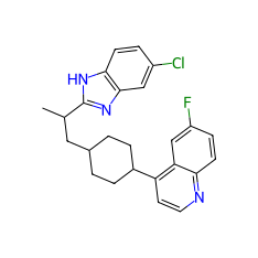 CC(CC1CCC(c2ccnc3ccc(F)cc23)CC1)c1nc2cc(Cl)ccc2[nH]1